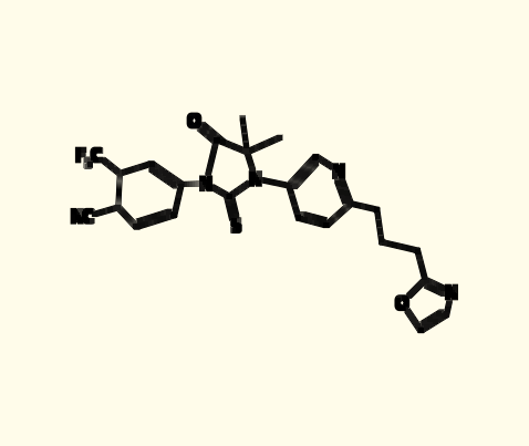 CC1(C)C(=O)N(C2=CC(C(F)(F)F)C(C#N)C=C2)C(=S)N1c1ccc(CCCc2ncco2)nc1